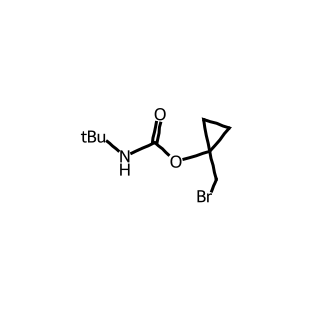 CC(C)(C)NC(=O)OC1(CBr)CC1